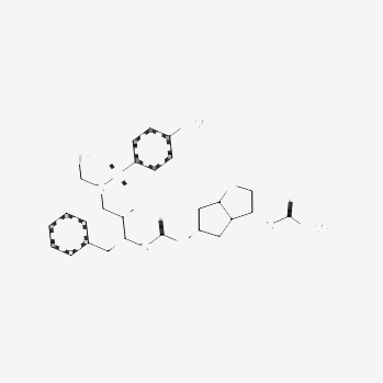 COC(=O)N[C@H]1CO[C@@H]2C[C@H](OC(=O)N[C@@H](Cc3ccccc3)[C@H](O)CN(CC(C)C)S(=O)(=O)c3ccc(OC)cc3)C[C@H]12